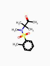 CC(=O)C(C)(C)N(C)S(=O)(=O)c1ccccc1C